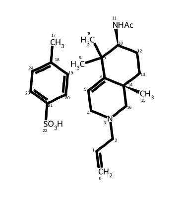 C=CCN1CC=C2C(C)(C)[C@@H](NC(C)=O)CC[C@]2(C)C1.Cc1ccc(S(=O)(=O)O)cc1